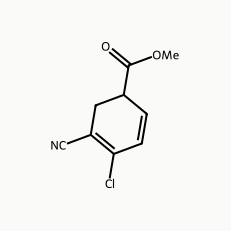 COC(=O)C1C=CC(Cl)=C(C#N)C1